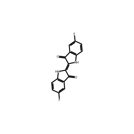 O=C1/C(=C2\Nc3ccc(F)cc3C2=O)Nc2ccc(F)cc21